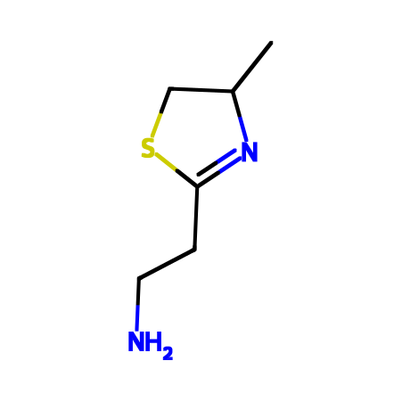 CC1CSC(CCN)=N1